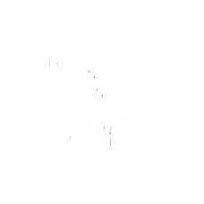 CC1(C2CC2)n2nc(Br)cc2C(=O)NC12CC2